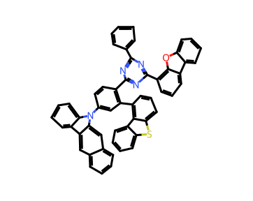 c1ccc(-c2nc(-c3ccc(-n4c5ccccc5c5cc6ccccc6cc54)cc3-c3cccc4sc5ccccc5c34)nc(-c3cccc4c3oc3ccccc34)n2)cc1